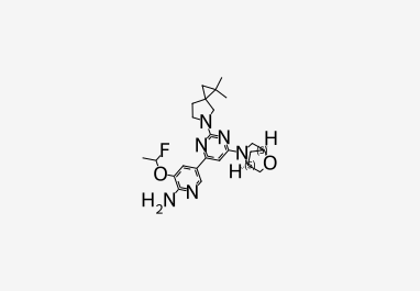 CC(F)Oc1cc(-c2cc(N3C[C@@H]4C[C@H]3CO4)nc(N3CCC4(C3)CC4(C)C)n2)cnc1N